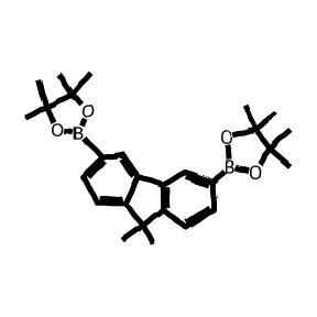 CC1(C)c2ccc(B3OC(C)(C)C(C)(C)O3)cc2-c2cc(B3OC(C)(C)C(C)(C)O3)ccc21